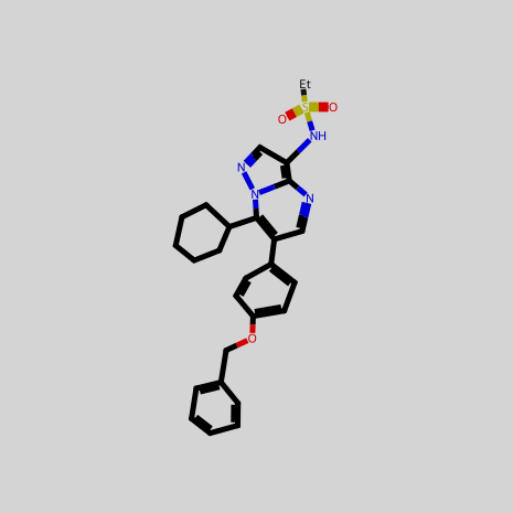 CCS(=O)(=O)Nc1cnn2c(C3CCCCC3)c(-c3ccc(OCc4ccccc4)cc3)cnc12